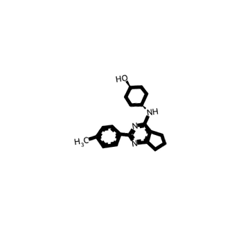 Cc1ccc(-c2nc3c(c(N[C@H]4CC[C@H](O)CC4)n2)CCC3)cc1